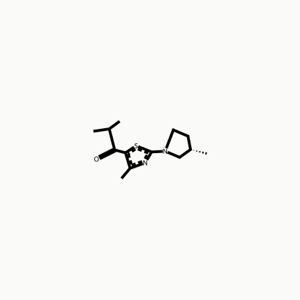 Cc1nc(N2CC[C@H](C)C2)sc1C(=O)C(C)C